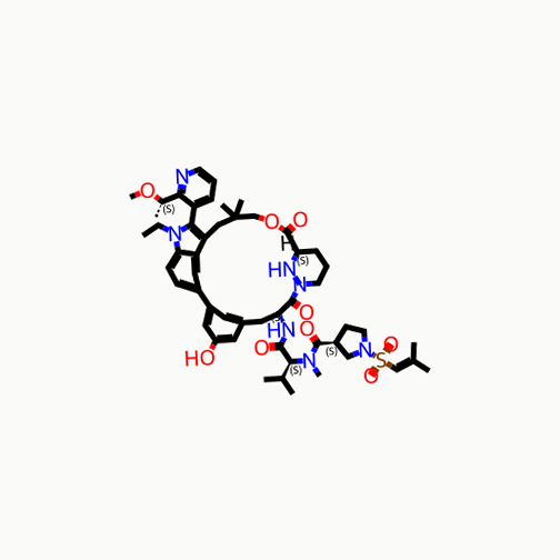 CCn1c(-c2cccnc2[C@H](C)OC)c2c3cc(ccc31)-c1cc(O)cc(c1)C[C@H](NC(=O)[C@H](C(C)C)N(C)C(=O)[C@H]1CCN(S(=O)(=O)C=C(C)C)C1)C(=O)N1CCC[C@H](N1)C(=O)OCC(C)(C)C2